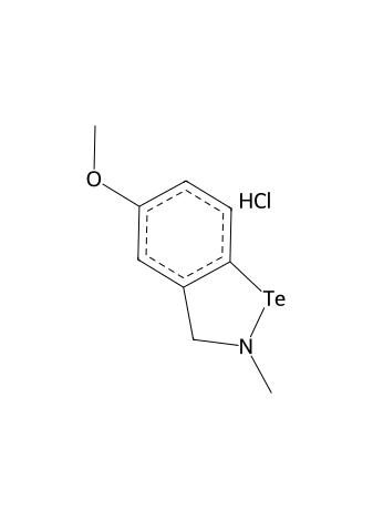 COc1ccc2c(c1)CN(C)[Te]2.Cl